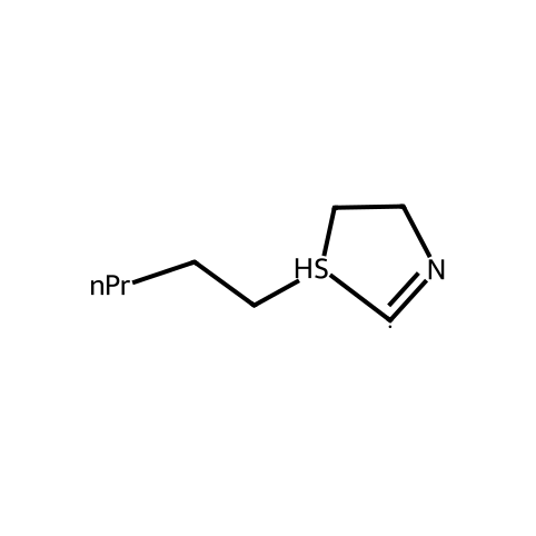 CCCCC[SH]1[C]=NCC1